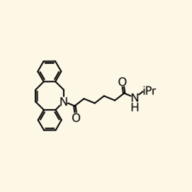 CC(C)NC(=O)CCCCC(=O)N1Cc2ccccc2/C=C\c2ccccc21